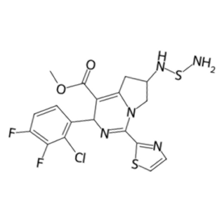 COC(=O)C1=C2CC(NSN)CN2C(c2nccs2)=NC1c1ccc(F)c(F)c1Cl